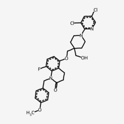 COc1ccc(CN2C(=O)CCc3c(OCC4(CO)CCN(c5ncc(Cl)cc5Cl)CC4)ccc(F)c32)cc1